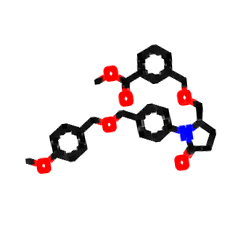 COC(=O)c1cccc(COC[C@H]2CCC(=O)N2c2ccc(COCc3ccc(OC)cc3)cc2)c1